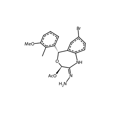 COc1cccc([C@H]2O[C@H](OC(C)=O)C(=NN)Nc3ccc(Br)cc32)c1C